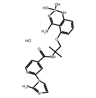 CC(C)(COc1cccc2c1C(N)=NS(O)(O)N2)NC(=O)c1ccnc(N2C=C[N+]=C2N)c1.Cl